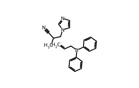 C=CCB(c1ccccc1)c1ccccc1.CC(C#N)Cn1ccnc1